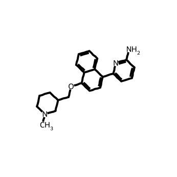 CN1CCCC(COc2ccc(-c3cccc(N)n3)c3ccccc23)C1